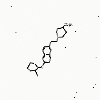 CCOC(=O)C1CCN(CCc2ccc3cc(OC4CCCCC4C)ccc3c2)CC1